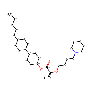 C=C(OCCCCN1CCCCC1)C(=O)OC1CCC(C2CCC(CCCCC)CC2)CC1